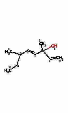 C=CC(C)(O)/C=C/C(C)CC